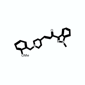 COc1ccccc1CN1CCC(C=CC(=O)c2nn(C)c3ccccc23)CC1